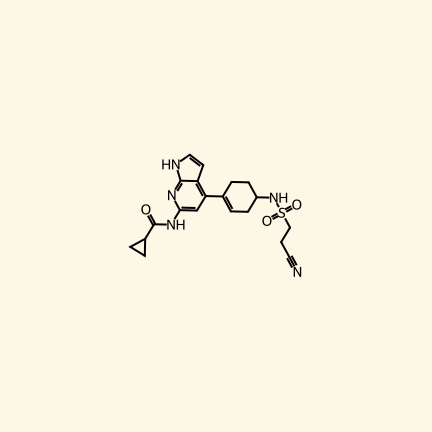 N#CCCS(=O)(=O)NC1CC=C(c2cc(NC(=O)C3CC3)nc3[nH]ccc23)CC1